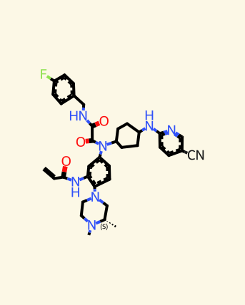 C=CC(=O)Nc1cc(N(C(=O)C(=O)NCc2ccc(F)cc2)C2CCC(Nc3ccc(C#N)cn3)CC2)ccc1N1CCN(C)[C@@H](C)C1